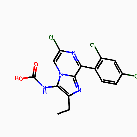 CCc1nc2c(-c3ccc(Cl)cc3Cl)nc(Cl)cn2c1NC(=O)O